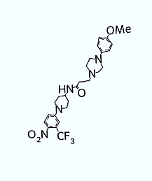 COc1ccc(N2CCN(CCC(=O)NC3CCN(c4ccc([N+](=O)[O-])c(C(F)(F)F)c4)CC3)CC2)cc1